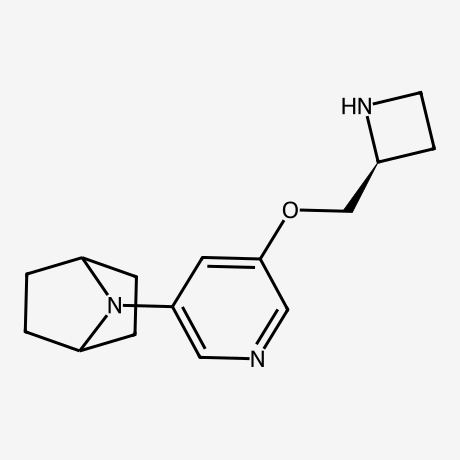 c1ncc(N2C3CCC2CC3)cc1OC[C@@H]1CCN1